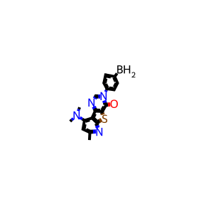 Bc1ccc(-n2cnc3c(sc4nc(C)cc(N(C)C)c43)c2=O)cc1